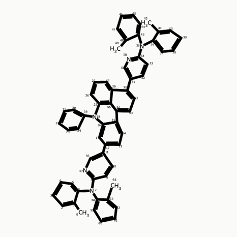 Cc1ccccc1N(c1ccc(-c2ccc3c(c2)N(c2ccccc2)c2cccc4c(-c5ccc(N(c6ccccc6C)c6ccccc6C)nc5)ccc-3c24)cn1)c1ccccc1C